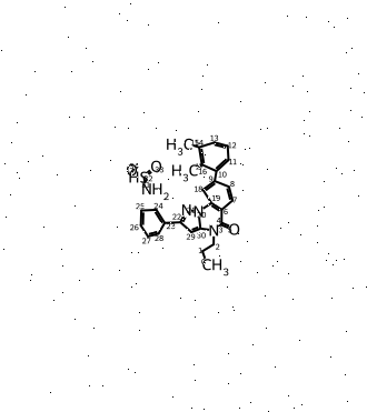 CCCn1c(=O)c2ccc(-c3cccc(C)c3C)cc2n2nc(-c3ccccc3)cc12.N[SH](=O)=O